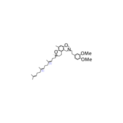 COc1ccc(CCN2COc3cc(C)c4c(c3C2)CC[C@@](C)(CC/C=C(\C)CC/C=C(\C)CCC=C(C)C)O4)cc1OC